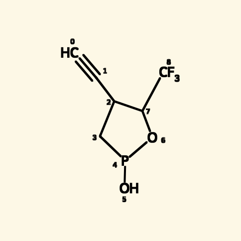 C#CC1CP(O)OC1C(F)(F)F